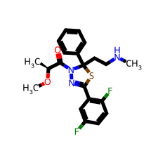 CNCCC1(c2ccccc2)SC(c2cc(F)ccc2F)=NN1C(=O)[C@H](C)OC